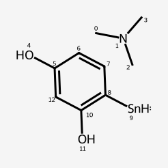 CN(C)C.Oc1cc[c]([SnH])c(O)c1